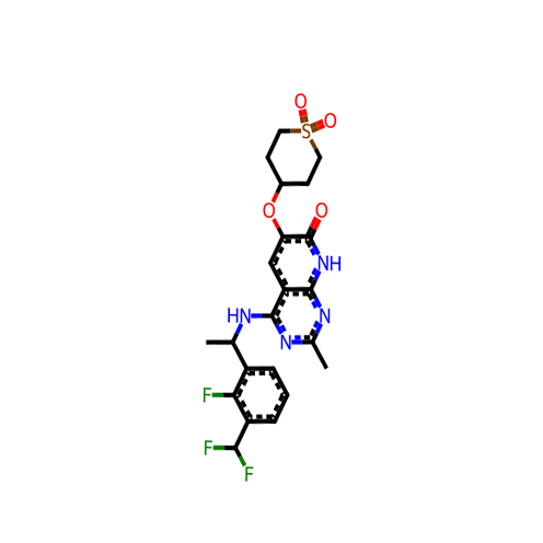 Cc1nc(NC(C)c2cccc(C(F)F)c2F)c2cc(OC3CCS(=O)(=O)CC3)c(=O)[nH]c2n1